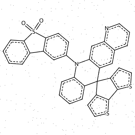 O=S1(=O)c2ccccc2-c2cc(N3c4ccccc4C4(c5cc6cccnc6cc53)c3ccsc3-c3sccc34)ccc21